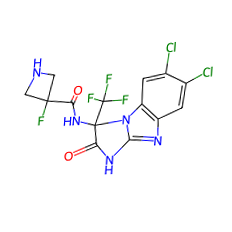 O=C(NC1(C(F)(F)F)C(=O)Nc2nc3cc(Cl)c(Cl)cc3n21)C1(F)CNC1